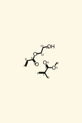 C=C(C)C(=O)OC.C=CC(=O)OCCO